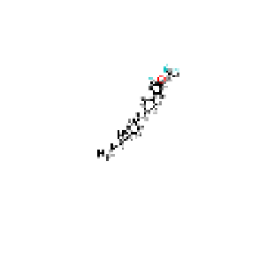 CCCCC[SiH]1CCC(CCC2CCC(c3ccc(OCC(F)F)c(F)c3)CC2)CC1